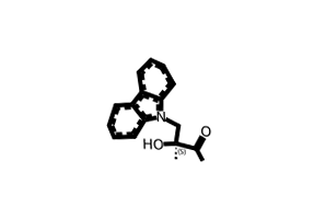 CC(=O)[C@@](C)(O)Cn1c2ccccc2c2ccccc21